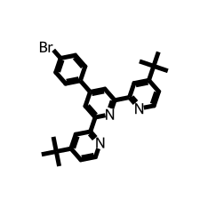 CC(C)(C)c1ccnc(-c2cc(-c3ccc(Br)cc3)cc(-c3cc(C(C)(C)C)ccn3)n2)c1